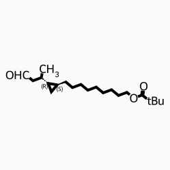 CC(CC=O)[C@H]1C[C@@H]1CCCCCCCCCOC(=O)C(C)(C)C